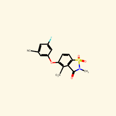 CN1C(=O)c2c(ccc(Oc3cc(F)cc(C#N)c3)c2[N+](=O)[O-])S1(=O)=O